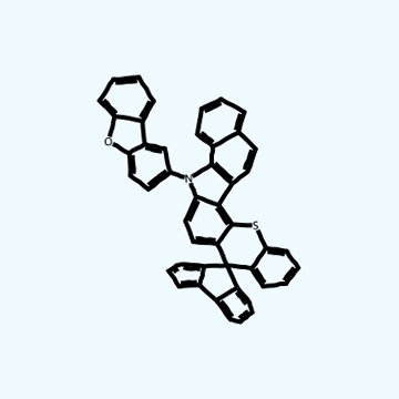 c1ccc2c(c1)Sc1c(ccc3c1c1ccc4ccccc4c1n3-c1ccc3oc4ccccc4c3c1)C21c2ccccc2-c2ccccc21